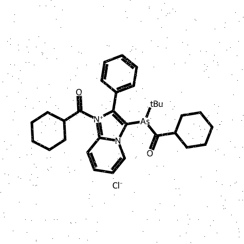 CC(C)(C)[As](C(=O)C1CCCCC1)c1c(-c2ccccc2)[n+](C(=O)C2CCCCC2)c2ccccn12.[Cl-]